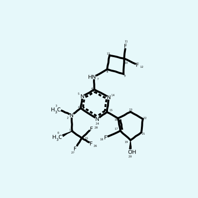 C[C@@H](N(C)c1nc(NC2CC(F)(F)C2)nc(C2=C(F)[C@H](O)CCC2)n1)C(F)(F)F